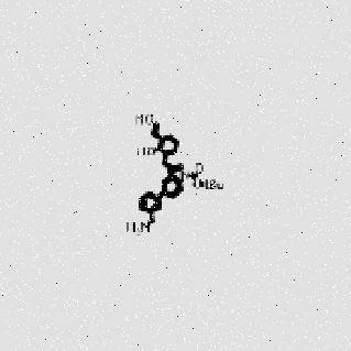 CC(C)(C)OC(=O)n1cc(Cc2cccc(CCO)c2O)c2cc(-c3cccc(CN)c3)ccc21